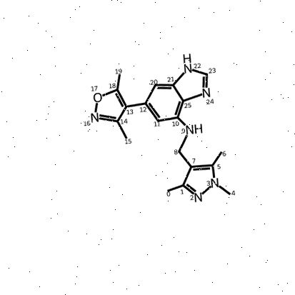 Cc1nn(C)c(C)c1CNc1cc(-c2c(C)noc2C)cc2[nH]cnc12